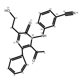 CC(=O)c1c(-c2ccccc2)nc(CCO)c(=O)n1Nc1cccc(C#N)c1